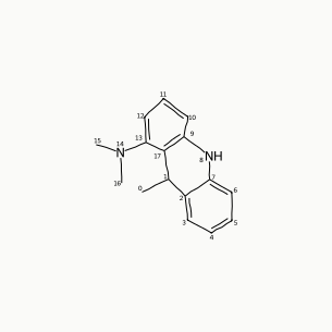 CC1c2ccccc2Nc2cccc(N(C)C)c21